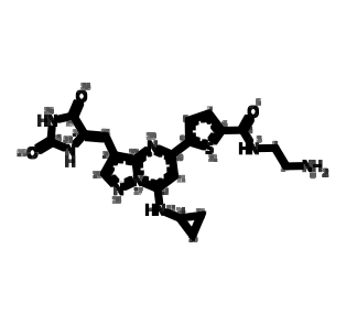 NCCNC(=O)c1ccc(-c2cc(NC3CC3)n3ncc(/C=C4\NC(=O)NC4=O)c3n2)s1